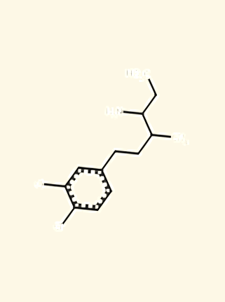 CC(CCc1ccc(Cl)c(Cl)c1)C(N)CC(=O)O